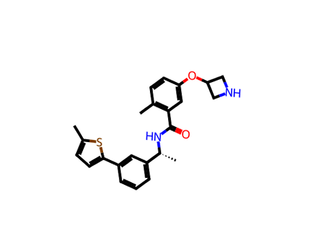 Cc1ccc(-c2cccc([C@@H](C)NC(=O)c3cc(OC4CNC4)ccc3C)c2)s1